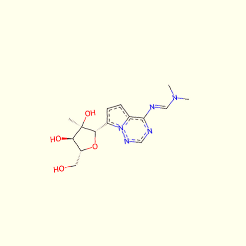 CN(C)/C=N/c1ncnn2c([C@@H]3O[C@H](CO)[C@@H](O)[C@@]3(C)O)ccc12